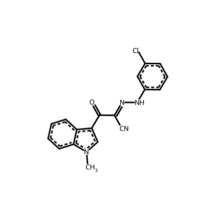 Cn1cc(C(=O)/C(C#N)=N/Nc2cccc(Cl)c2)c2ccccc21